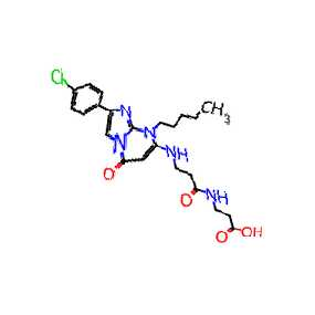 CCCCCn1c(NCCC(=O)NCCC(=O)O)cc(=O)n2cc(-c3ccc(Cl)cc3)nc12